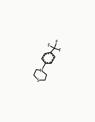 FC(F)(F)c1ccc(N2CCSCC2)cc1